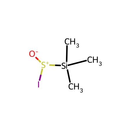 C[Si](C)(C)[S+]([O-])I